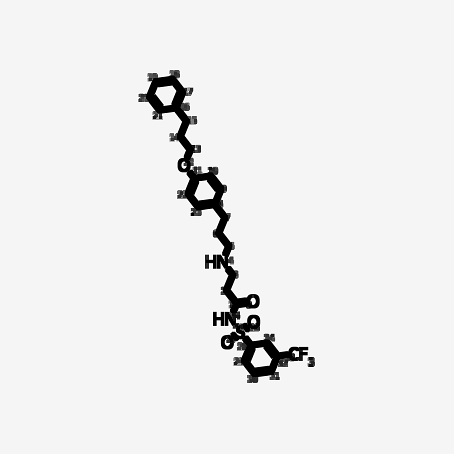 O=C(CCNCCCc1ccc(OCCCc2ccccc2)cc1)NS(=O)(=O)c1cccc(C(F)(F)F)c1